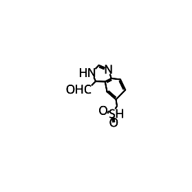 O=CC1NC=Nc2ccc(C[SH](=O)=O)cc21